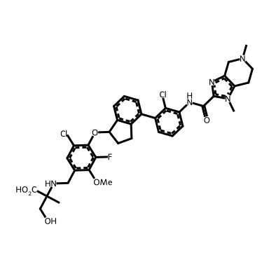 COc1c(CNC(C)(CO)C(=O)O)cc(Cl)c(OC2CCc3c(-c4cccc(NC(=O)c5nc6c(n5C)CCN(C)C6)c4Cl)cccc32)c1F